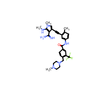 CNc1c(C(=N)N)c(C#Cc2cc(NC(=O)c3ccc(CN4CCN(C)CC4)c(C(F)(F)F)c3)ccc2C)cn1C